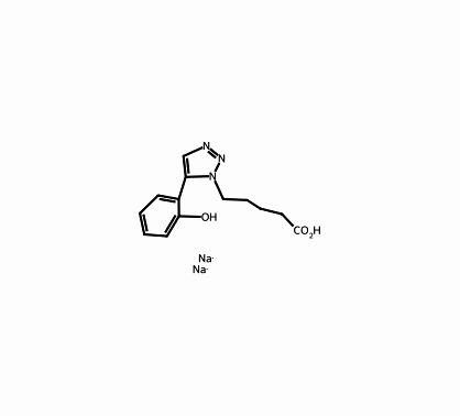 O=C(O)CCCCn1nncc1-c1ccccc1O.[Na].[Na]